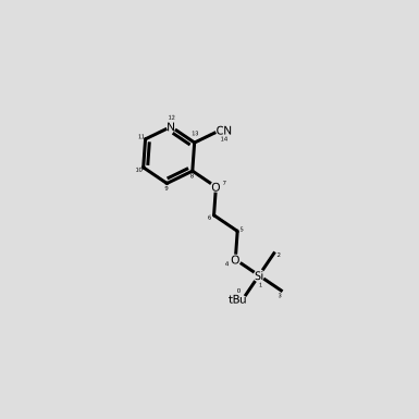 CC(C)(C)[Si](C)(C)OCCOc1cccnc1C#N